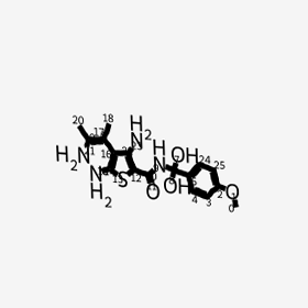 COc1ccc(C(O)(O)NC(=O)c2sc(N)c(/C(C)=C(/C)N)c2N)cc1